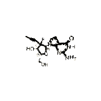 CC#CC1(F)[C@@H](O)[C@@H](CO)O[C@H]1n1ccc2c(=O)[nH]c(N)nc21